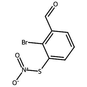 O=Cc1cccc(S[N+](=O)[O-])c1Br